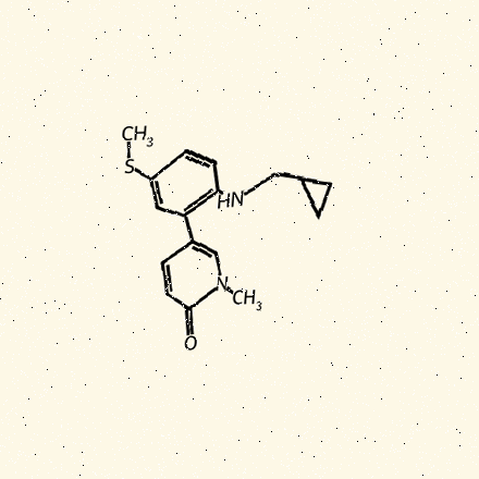 CSc1ccc(NCC2CC2)c(-c2ccc(=O)n(C)c2)c1